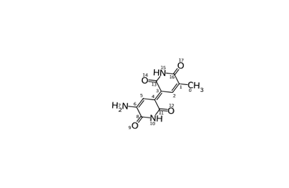 CC1=C/C(=C2/C=C(N)C(=O)NC2=O)C(=O)NC1=O